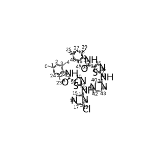 Cc1cc(C)c(NC(=O)c2cnc(Nc3cncc(Cl)n3)s2)c(C)c1.Cc1cc(C)c(NC(=O)c2cnc(Nc3cnccn3)s2)c(C)c1